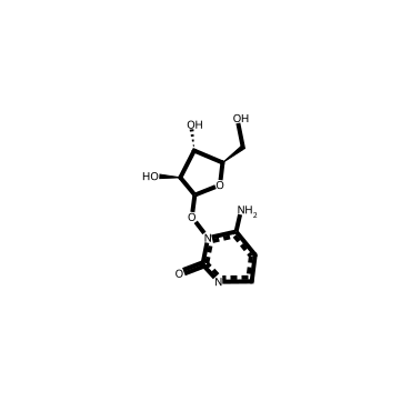 Nc1ccnc(=O)n1OC1O[C@H](CO)[C@@H](O)[C@@H]1O